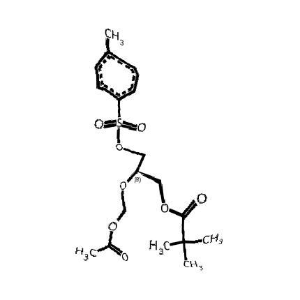 CC(=O)OCO[C@H](COC(=O)C(C)(C)C)COS(=O)(=O)c1ccc(C)cc1